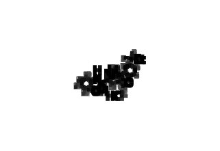 CCC(C)(C)c1ccc(OC(C)CCC(N)C(=O)Nc2ccccc2O)c(C(C)(C)CC)c1.Cl